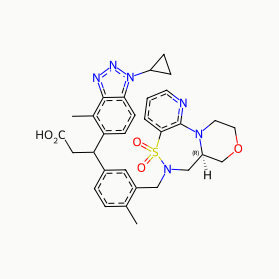 Cc1ccc(C(CC(=O)O)c2ccc3c(nnn3C3CC3)c2C)cc1CN1C[C@@H]2COCCN2c2ncccc2S1(=O)=O